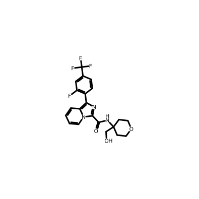 O=C(NC1(CO)CCOCC1)c1nc(-c2ccc(C(F)(F)F)cc2F)c2ccccn12